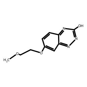 COCCOc1ccc2nc(O)nnc2c1